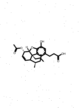 CCC[C@]12c3c4c(CCC(=O)O)cc(O)c3O[C@H]1[C@@H](OC(C)=O)C=CC2[C@H](C)C4